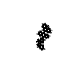 CC1(C)c2cc(-c3c4ccccc4c(-c4cc5cccc6oc7cccc4c7c56)c4ccccc34)ccc2-c2c1ccc1ccccc21